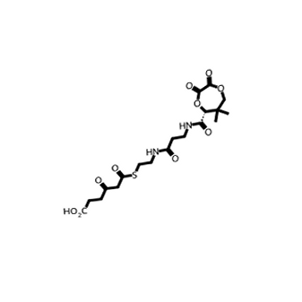 CC1(C)COC(=O)C(=O)O[C@H]1C(=O)NCCC(=O)NCCSC(=O)CC(=O)CCC(=O)O